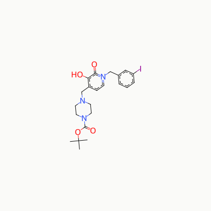 CC(C)(C)OC(=O)N1CCN(Cc2ccn(Cc3cccc(I)c3)c(=O)c2O)CC1